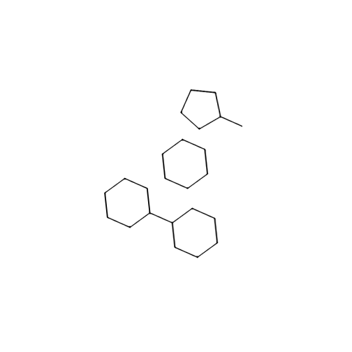 C1CCC(C2CCCCC2)CC1.C1CCCCC1.CC1CCCC1